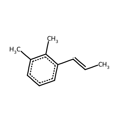 C/C=[C]/c1cccc(C)c1C